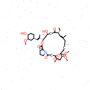 CC[C@@H]1/C=C(\C)C[C@H](C)C[C@H](OC)[C@H]2O[C@@](O)(CC(=O)N3CCC[C@H]3C(=O)O[C@H](/C(C)=C/[C@@H]3CC[C@@H](O)[C@H](OC)C3)[C@H](C)[C@@H](O)CC1=O)[C@H](C)C[C@@H]2OC